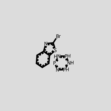 Brc1nc2ccccc2s1.n1p[nH][pH][nH][pH]1